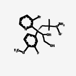 CC(C)(C[C@](c1ccc(OC(F)(F)F)c(F)c1)(c1ncccc1Br)C(O)CO)[S+](N)[O-]